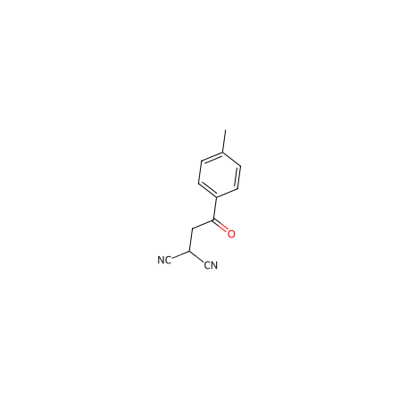 Cc1ccc(C(=O)CC(C#N)C#N)cc1